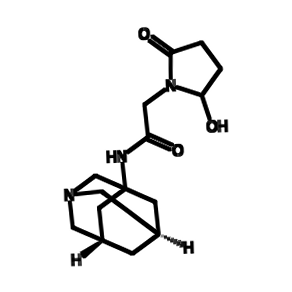 O=C(CN1C(=O)CCC1O)NC12C[C@@H]3C[C@@H](CN(C3)C1)C2